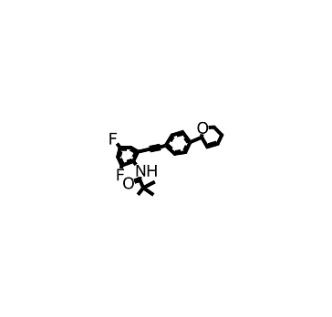 CC(C)(C)C(=O)Nc1c(F)cc(F)cc1C#Cc1ccc(C2C=CCCO2)cc1